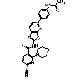 CC(=O)Nc1ccc(-c2ccc3nc(NC(=O)c4ccc(C#N)nc4N4CCOCC4)sc3n2)cc1